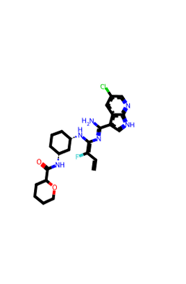 C=C/C(F)=C(\N=C(/N)c1c[nH]c2ncc(Cl)cc12)N[C@H]1CCC[C@@H](NC(=O)C2CCCCO2)C1